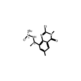 CCc1nc2c([C@@H](C)N[S@+]([O-])C(C)(C)C)cc(C)cc2c(=O)n1C